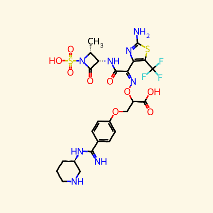 C[C@@H]1[C@H](NC(=O)/C(=N\OC(COc2ccc(C(=N)N[C@@H]3CCCNC3)cc2)C(=O)O)c2nc(N)sc2C(F)(F)F)C(=O)N1S(=O)(=O)O